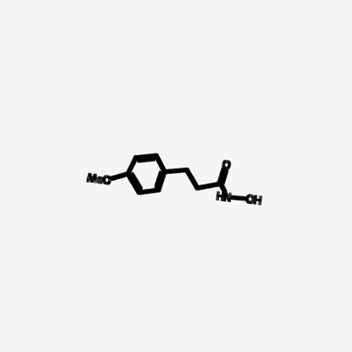 COc1ccc(CCC(=O)NO)cc1